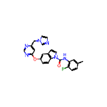 Cc1ccc(F)c(NC(=O)n2ccc3cc(Oc4cc(Cn5ccnc5)ncn4)ccc32)c1